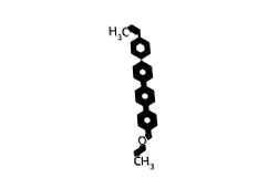 C/C=C\[C@H]1CC[C@H](c2ccc(-c3ccc(-c4ccc(COCCC)cc4)cc3)cc2)CC1